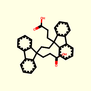 O=C(O)CCC1(CCC2(CCC(=O)O)c3ccccc3-c3ccccc32)c2ccccc2-c2ccccc21